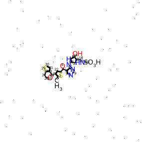 Cc1sc(C(=O)c2cncnc2N[C@H]2C[C@H](O)[C@@H]([CH]NS(=O)(=O)O)C2)cc1[C@@H]1OCCc2sccc21